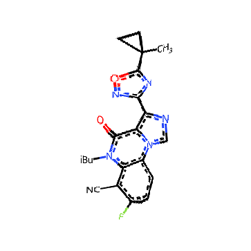 CCC(C)n1c(=O)c2c(-c3noc(C4(C)CC4)n3)ncn2c2ccc(F)c(C#N)c21